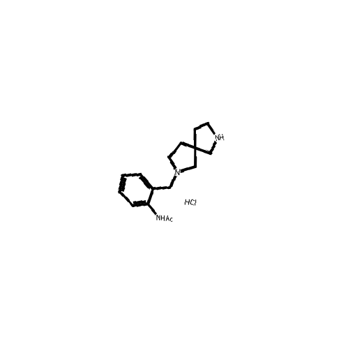 CC(=O)Nc1ccccc1CN1CCC2(CCNC2)C1.Cl